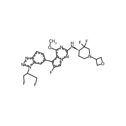 COc1nc(N[C@@H]2CCN(C3COC3)CC2(F)F)nn2cc(F)c(-c3ccc4nnn(C(CF)CF)c4c3)c12